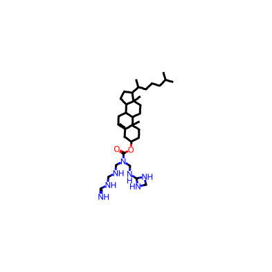 CC(C)CCCC(C)C1CCC2C3CC=C4CC(OC(=O)N(CNCNC=N)CNC5NCN5)CCC4(C)C3CCC12C